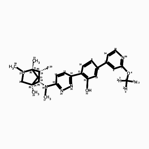 [2H]C([2H])([2H])Oc1cc(-c2ccc(-c3ccc(N(C)[C@H]4[C@@H](F)[C@@]5(C)C[C@]4(C)CN5C)nn3)c(O)c2)ccn1